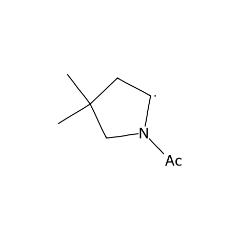 CC(=O)N1[CH]CC(C)(C)C1